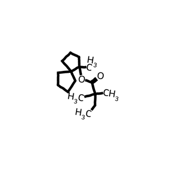 CCC(C)(C)C(=O)OC1(C)CCCC12CCCC2